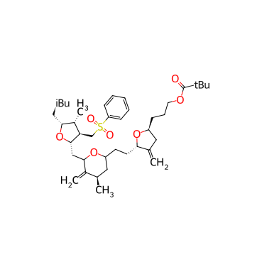 C=C1C(C[C@@H]2O[C@H](C[C@H](C)CC)[C@H](C)[C@H]2CS(=O)(=O)c2ccccc2)OC(CC[C@@H]2O[C@@H](CCCOC(=O)C(C)(C)C)CC2=C)C[C@H]1C